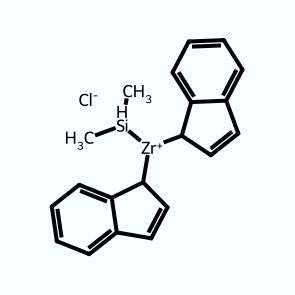 C[SiH](C)[Zr+]([CH]1C=Cc2ccccc21)[CH]1C=Cc2ccccc21.[Cl-]